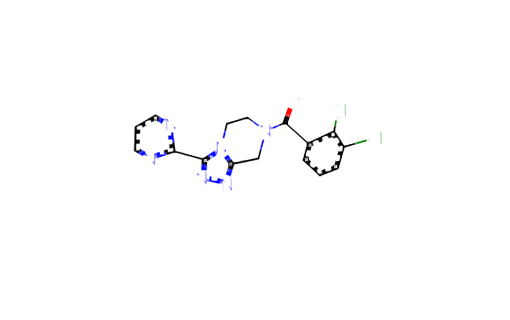 O=C(c1cccc(Cl)c1Cl)N1CCn2c(nnc2-c2ncccn2)C1